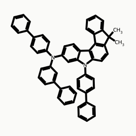 CC1(C)c2ccccc2-c2c1ccc1c2c2ccc(N(c3ccc(-c4ccccc4)cc3)c3cccc(-c4ccccc4)c3)cc2n1-c1ccc(-c2ccccc2)cc1